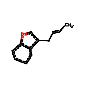 [CH2]C=CCc1coc2ccccc12